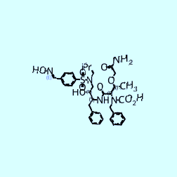 CC(C)CN(C[C@@H](O)[C@H](Cc1ccccc1)NC(=O)[C@H]([C@@H](C)OCC(N)=O)N(Cc1ccccc1)C(=O)O)S(=O)(=O)c1ccc(/C=N/O)cc1